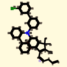 C=CC/C=C\C1=C(CC)C(C)(C)c2cc(N(c3cccc(-c4cccc(Br)c4)c3)c3ccccc3-c3ccccc3)ccc21